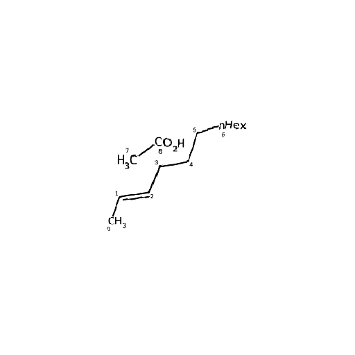 C/C=C/CCCCCCCCC.CC(=O)O